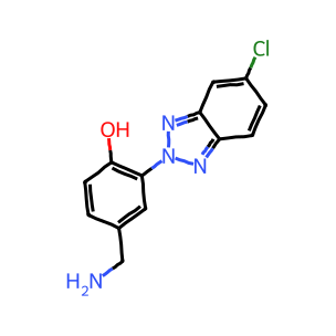 NCc1ccc(O)c(-n2nc3ccc(Cl)cc3n2)c1